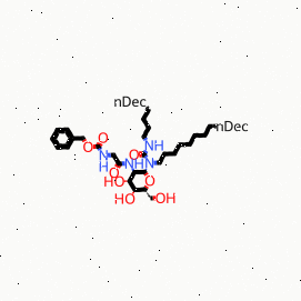 CCCCCCCCCCCCCCCCCCN(C(=O)NCCCCCCCCCCCCCC)[C@@H]1O[C@H](CO)[C@H](O)[C@H](O)[C@H]1NC(=O)CNC(=O)OCc1ccccc1